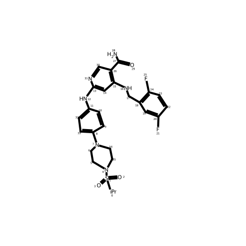 CC(C)S(=O)(=O)N1CCN(c2ccc(Nc3cc(NCc4cc(F)ccc4F)c(C(N)=O)cn3)cc2)CC1